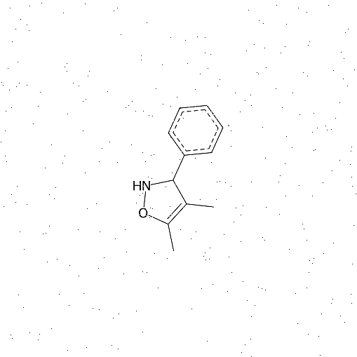 CC1=C(C)C(c2ccccc2)NO1